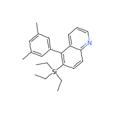 CC[Si](CC)(CC)c1ccc2ncccc2c1-c1cc(C)cc(C)c1